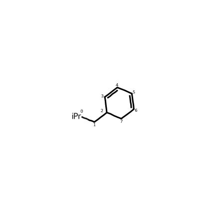 CC(C)CC1C=CC=CC1